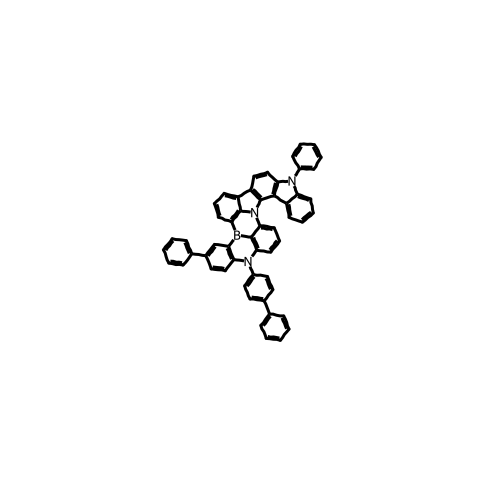 c1ccc(-c2ccc(N3c4ccc(-c5ccccc5)cc4B4c5c3cccc5-n3c5c4cccc5c4ccc5c(c6ccccc6n5-c5ccccc5)c43)cc2)cc1